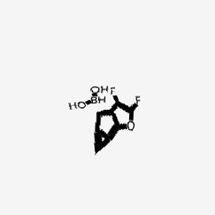 Fc1oc2c3cc-3cc2c1F.OBO